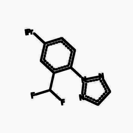 CC(C)c1ccc(-n2nccn2)c(C(F)F)c1